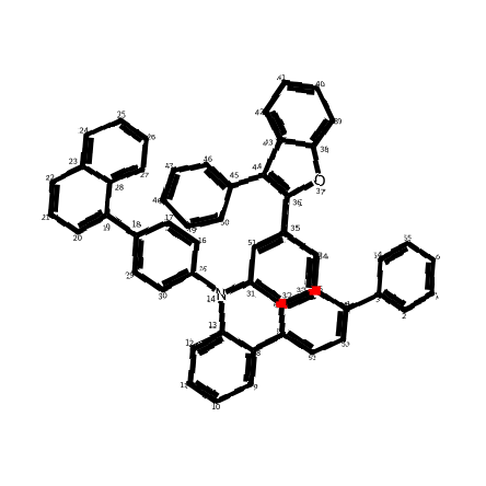 c1ccc(-c2ccc(-c3ccccc3N(c3ccc(-c4cccc5ccccc45)cc3)c3cccc(-c4oc5ccccc5c4-c4ccccc4)c3)cc2)cc1